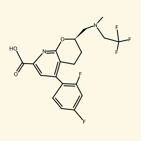 CN(C[C@H]1CCc2c(-c3ccc(F)cc3F)cc(C(=O)O)nc2O1)CC(F)(F)F